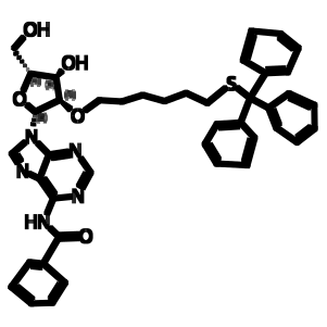 O=C(Nc1ncnc2c1ncn2[C@@H]1O[C@H](CO)[C@@H](O)[C@H]1OCCCCCCSC(c1ccccc1)(c1ccccc1)c1ccccc1)c1ccccc1